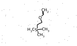 C=COCC[Si](C)(C)C